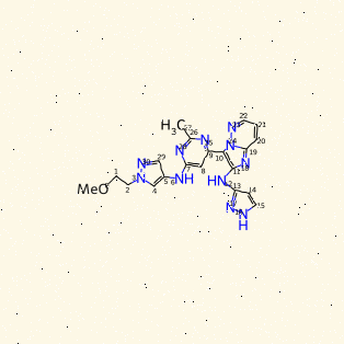 COCCn1cc(Nc2cc(-c3c(Nc4cc[nH]n4)nc4cccnn34)nc(C)n2)cn1